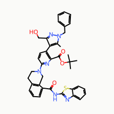 Cc1c(-c2ccc(N3CCc4cccc(C(=O)Nc5nc6ccccc6s5)c4C3)nc2C(=O)OC(C)(C)C)c(CO)nn1Cc1ccccc1